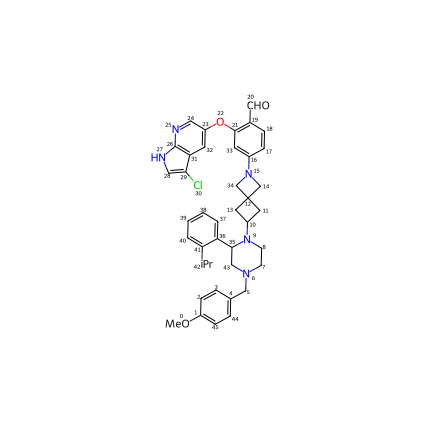 COc1ccc(CN2CCN(C3CC4(C3)CN(c3ccc(C=O)c(Oc5cnc6[nH]cc(Cl)c6c5)c3)C4)C(c3ccccc3C(C)C)C2)cc1